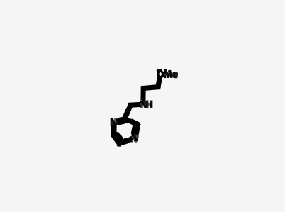 COCCNCc1cnccn1